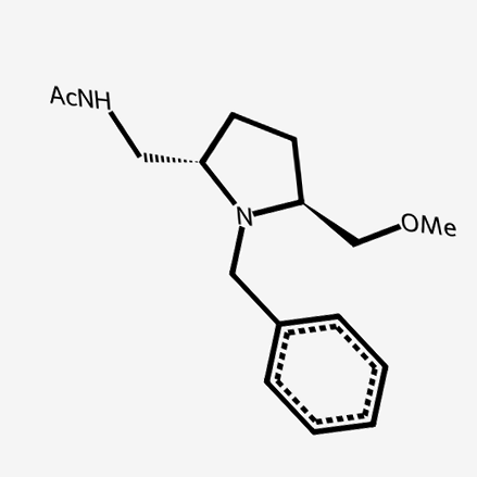 COC[C@@H]1CC[C@@H](CNC(C)=O)N1Cc1ccccc1